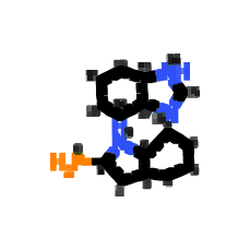 Pc1cc2ccccc2[nH]1.c1ccc2[nH]cnc2c1